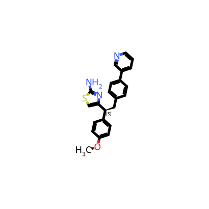 COc1ccc([C@H](Cc2ccc(-c3cccnc3)cc2)c2csc(N)n2)cc1